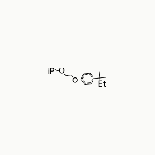 CCC(C)(C)c1ccc(OCCOC(C)C)cc1